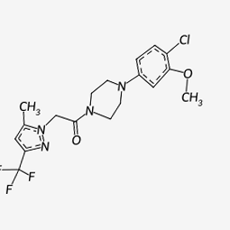 COc1cc(N2CCN(C(=O)Cn3nc(C(F)(F)F)cc3C)CC2)ccc1Cl